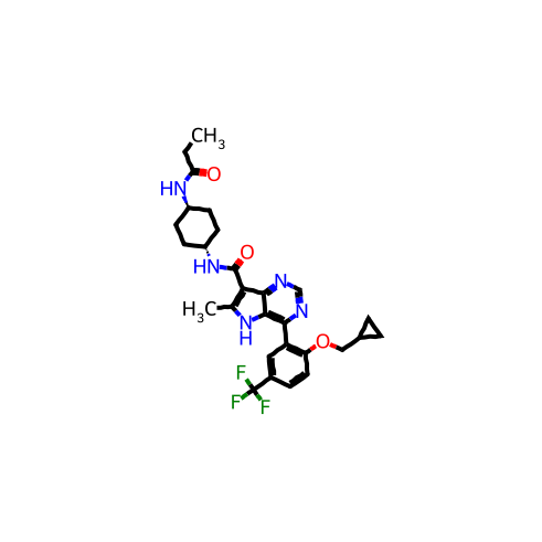 CCC(=O)N[C@H]1CC[C@H](NC(=O)c2c(C)[nH]c3c(-c4cc(C(F)(F)F)ccc4OCC4CC4)ncnc23)CC1